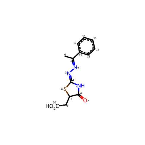 CC(=NN=C1NC(=O)C(CC(=O)O)S1)c1ccccc1